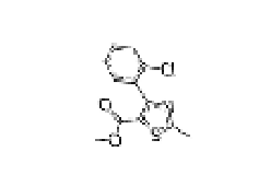 COC(=O)c1sc(C)nc1-c1ccccc1Cl